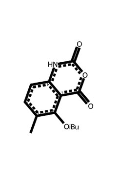 Cc1ccc2[nH]c(=O)oc(=O)c2c1OCC(C)C